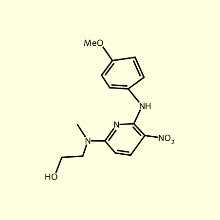 COc1ccc(Nc2nc(N(C)CCO)ccc2[N+](=O)[O-])cc1